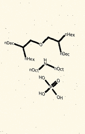 CCCCCCCCCCC(CCCCCC)COCC(CCCCCC)CCCCCCCCCC.CCCCCCCCNCCCCCCCC.O=P(O)(O)O